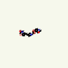 Cc1ccc2c3c(ccc2n1)OC[C@H](CN1CCC(CCc2ccc4c(c2)N(C)C(=O)CO4)CC1)O3